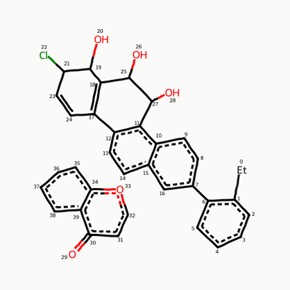 CCc1ccccc1-c1ccc2c3c(ccc2c1)C1=C(C(O)C(Cl)C=C1)C(O)C3O.O=c1ccoc2ccccc12